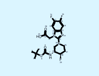 CC(C)(C)OC(=O)N[C@@H]1CN(c2nc3cc(F)c(F)cc3n2CC(=O)O)CC[C@H]1F